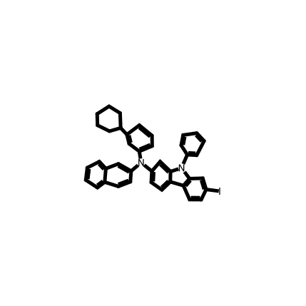 Ic1ccc2c3ccc(N(c4cccc(C5CCCCC5)c4)c4ccc5ccccc5c4)cc3n(-c3ccccc3)c2c1